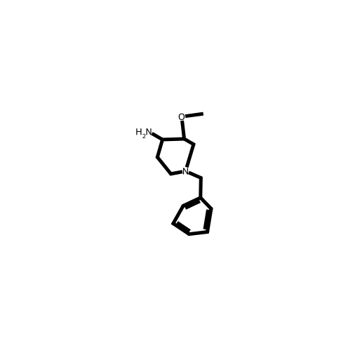 COC1CN(Cc2ccccc2)CCC1N